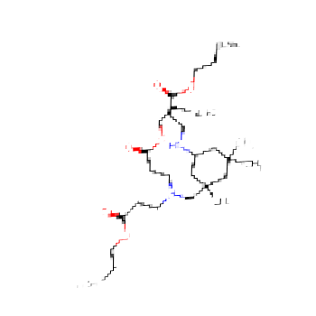 CCCCCCCCCCCCOC(=O)CCNC1CC(C)(C)CC(C)(CN(CCC(=O)OCCCCCCCCCCCC)CCC(=O)OCCCCCCCCCCCC)C1